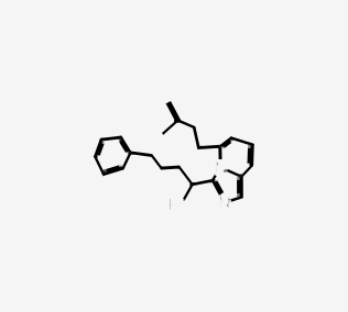 C=C(C)CCc1cccc2cnc(C(CCCc3ccccc3)C(C)C)n12